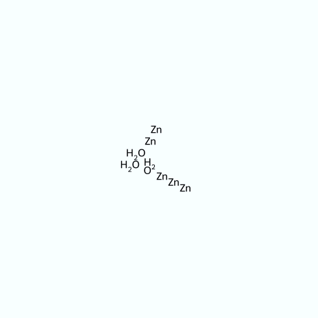 O.O.O.[Zn].[Zn].[Zn].[Zn].[Zn]